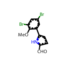 COc1c(Br)cc(Br)cc1-c1ccc(C=O)[nH]1